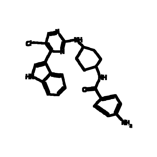 Nc1ccc(C(=O)NC2CCC(Nc3ncc(Cl)c(-c4c[nH]c5ccccc45)n3)CC2)cc1